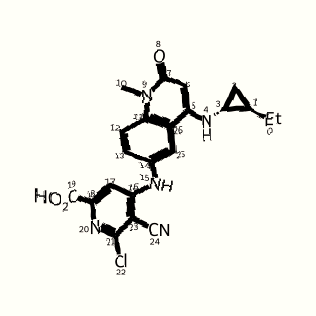 CC[C@@H]1C[C@H]1Nc1cc(=O)n(C)c2ccc(Nc3cc(C(=O)O)nc(Cl)c3C#N)cc12